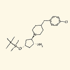 CC(C)(C)[Si](C)(C)O[C@H]1C[C@@H](N)[C@H](N2CCC(Cc3ccc(Cl)cc3)CC2)C1